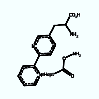 CCCCCCCC(=O)ON.NC(Cc1ccc(-c2ccccn2)nc1)C(=O)O